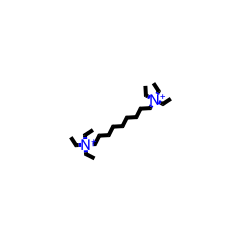 CC[N+](CC)(CC)CCCCCCCCC[N+](CC)(CC)CC